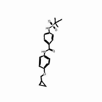 CC(C)(C)S(=O)(=O)Nc1ccc(C(=O)Nc2ccc(OCC3CC3)cc2)cc1